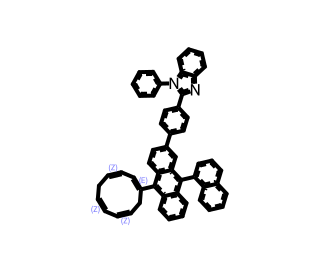 C1=C\C/C=C\C=C(\c2c3ccccc3c(-c3cccc4ccccc34)c3cc(-c4ccc(-c5nc6ccccc6n5-c5ccccc5)cc4)ccc23)C\C=C/1